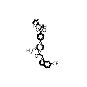 C[C@@H]1CN(c2ccc(S(=O)(=O)Nc3nccs3)cc2)CCN1C(=O)Cn1ccc2ccc(C(F)(F)F)cc21